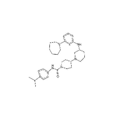 CC(C)c1ccc(NC(=O)N2CCC(N3CCCC(Nc4nccc(N5CCCCCC5)n4)C3)CC2)cc1